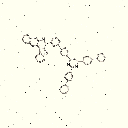 c1ccc(-c2ccc(-c3cc(-c4ccc(-c5cccc(-c6nc7cc8ccccc8cc7c7c6sc6ccccc67)c5)cc4)nc(-c4ccc(-c5ccccc5)cc4)n3)cc2)cc1